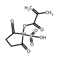 C=C(C)C(=O)O[N+]1(S(=O)(=O)O)C(=O)CCC1=O